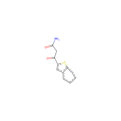 NC(=O)CC(=O)c1cc2ccccc2s1